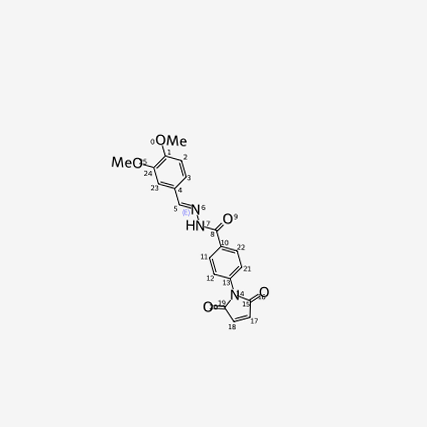 COc1ccc(/C=N/NC(=O)c2ccc(N3C(=O)C=CC3=O)cc2)cc1OC